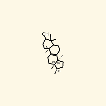 C[C@@H]1CC[C@]2(C)C3=C(CC[C@@]12C)[C@@]1(C)CCC(O)C(C)(C)C1CC3